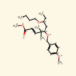 CCCCO[C@@H](CC)C[C@@H](OCc1ccc(OC)cc1)C(C)(C)/C=C/C(=O)OC